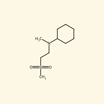 CN(CCS(C)(=O)=O)C1CCCCC1